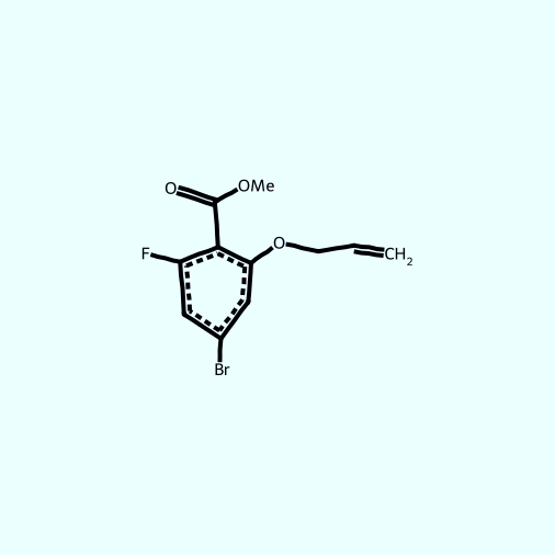 C=CCOc1cc(Br)cc(F)c1C(=O)OC